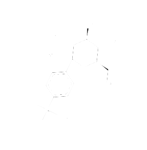 CO[C@@]1(c2ccc([Si](C)(C)C)cc2)O[C@H](COC(C)=O)[C@@H](OC(C)=O)[C@H](OC(C)=O)[C@H]1OC(C)=O